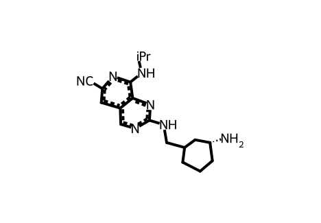 CC(C)Nc1nc(C#N)cc2cnc(NCC3CCC[C@@H](N)C3)nc12